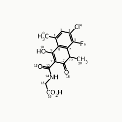 Cc1cc(Cl)c(F)c2c1C(O)=C(C(=O)NCC(=O)O)C(=O)C2C